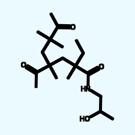 CCC(C)(CC(C)(CC(C)(C)C(C)=O)C(C)=O)C(=O)NCC(C)O